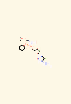 CC(C)OC(=O)[C@H](C)NP(=O)(Oc1ccccc1)O[C@H](C)[C@H]1O[C@@H](n2cc(F)c(N)nc2=O)[C@](C)(F)C1O